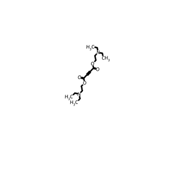 CCN(CC)CCOC(=O)C#CC(=O)OCCN(CC)CC